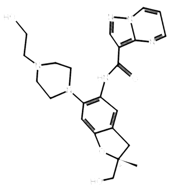 C[C@]1(CO)Cc2cc(NC(=O)c3cnn4cccnc34)c(N3CCN(CCO)CC3)cc2O1